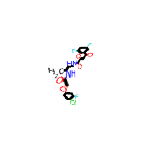 C=C(CCNC(=O)c1cc(=O)c2cc(F)cc(F)c2o1)NC(=O)COc1ccc(Cl)c(F)c1